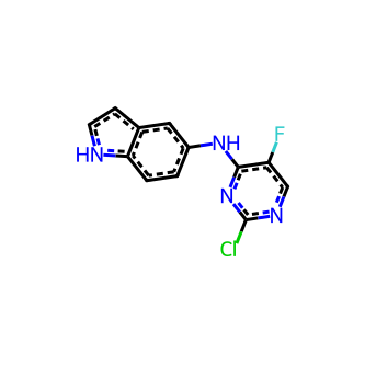 Fc1cnc(Cl)nc1Nc1ccc2[nH]ccc2c1